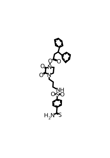 NC(=S)c1ccc(S(=O)(=O)NCCCN2CCN(OC(=O)CC(c3ccccc3)c3ccccc3)C(=O)C2=O)cc1